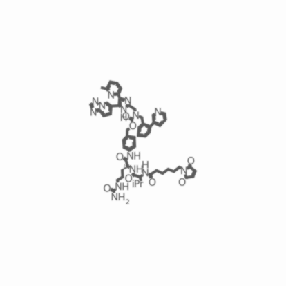 Cc1cccc(-c2nc(CN(Cc3ccccc3-c3cccnc3)C(=O)OCc3ccc(NC(=O)[C@H](CCCNC(N)=O)NC(=O)C(NC(=O)CCCCCN4C(=O)C=CC4=O)C(C)C)cc3)[nH]c2-c2ccc3ncnn3c2)n1